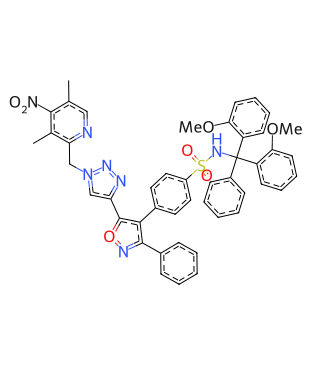 COc1ccccc1C(NS(=O)(=O)c1ccc(-c2c(-c3ccccc3)noc2-c2cn(Cc3ncc(C)c([N+](=O)[O-])c3C)nn2)cc1)(c1ccccc1)c1ccccc1OC